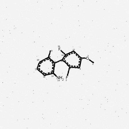 COc1cc(F)c(-c2c(C)cccc2N)c(F)c1